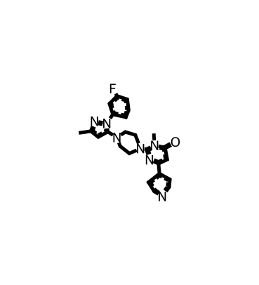 Cc1cc(N2CCN(c3nc(-c4ccncc4)cc(=O)n3C)CC2)n(-c2cccc(F)c2)n1